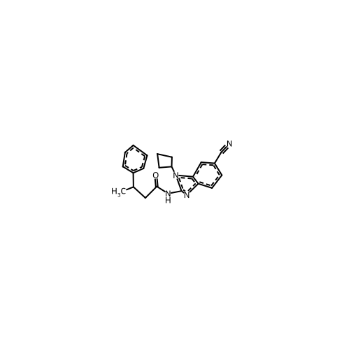 CC(CC(=O)Nc1nc2ccc(C#N)cc2n1C1CCC1)c1ccccc1